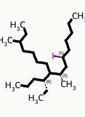 CCCCC[C@H](I)C[C@H](C)C(CCCCC(C)CC)[C@H](CC)CCC